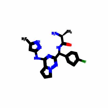 Cc1cc(Nc2nc(C(NC(=O)[C@@H](C)N)c3ccc(F)cc3)nn3cccc23)n[nH]1